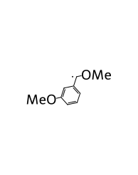 CO[CH]c1cccc(OC)c1